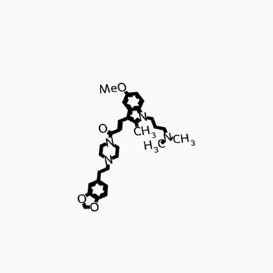 COc1ccc2c(c1)c(C=CC(=O)N1CCN(CCc3ccc4c(c3)OCO4)CC1)c(C)n2CCCN(C)C